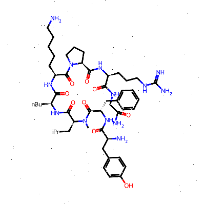 CCCC[C@H](NC(=O)[C@H](CC(C)C)N(C)C(=O)[C@H](Cc1ccccc1)NC(=O)[C@@H](N)Cc1ccc(O)cc1)C(=O)N[C@@H](CCCCCN)C(=O)N1CCC[C@H]1C(=O)N[C@@H](CCCNC(=N)N)C(=O)NCC(N)=O